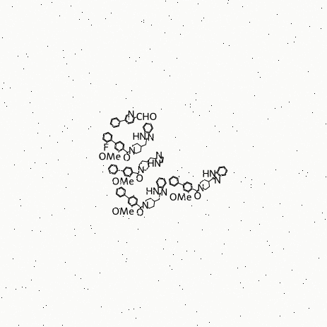 COc1cc(-c2ccccc2)ccc1C(=O)N1CCC(Cc2nc3ccccc3[nH]2)CC1.COc1cc(-c2ccccc2)ccc1C(=O)N1CCC(Cc2ncc[nH]2)CC1.COc1cc(-c2ccccc2)ccc1C(=O)N1CCC(c2nc3ccccc3[nH]2)CC1.COc1cc(-c2ccccc2F)ccc1C(=O)N1CCC(Cc2nc3ccccc3[nH]2)CC1.O=Cc1ccc(-c2ccccc2)cn1